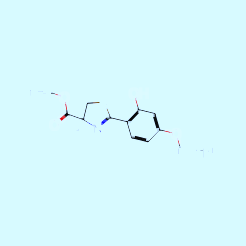 CCCCCCCOc1ccc(C2=N[C@@](C)(C(=O)OCCCC)CS2)c(O)c1